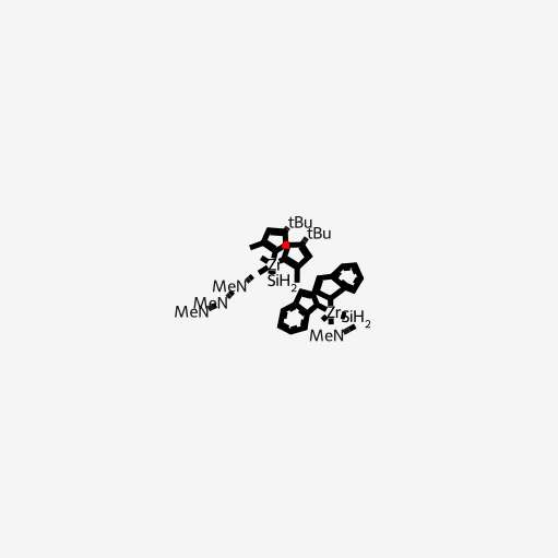 CC1=[C]([Zr]([CH3])([CH3])(=[SiH2])[C]2=C(C)C=C(C(C)(C)C)C2)CC(C(C)(C)C)=C1.CNC.CNC.CNC.CNC.[CH3][Zr]([CH3])(=[SiH2])([CH]1C=Cc2ccccc21)[CH]1C=Cc2ccccc21